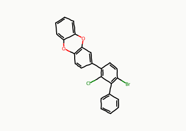 Clc1c(-c2ccc3c(c2)Oc2ccccc2O3)ccc(Br)c1-c1ccccc1